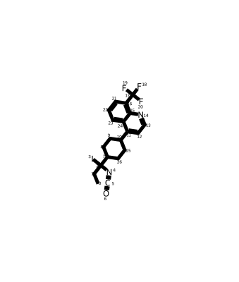 CCC(I)(N=C=O)C1CCC(c2ccnc3c(C(F)(F)F)cccc23)CC1